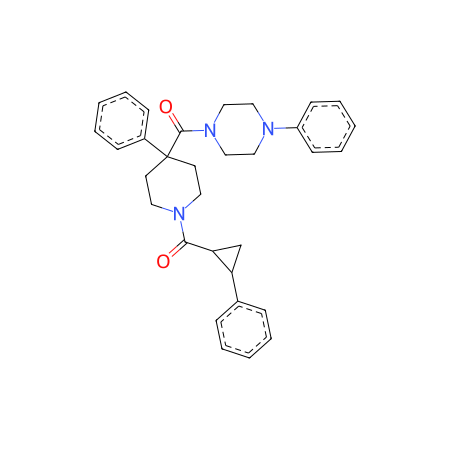 O=C(C1CC1c1ccccc1)N1CCC(C(=O)N2CCN(c3ccccc3)CC2)(c2ccccc2)CC1